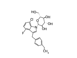 CCc1ccc(Cc2cn([C@@H]3O[C@H](CO)[C@@H](O)[C@H](O)[C@H]3O)c3c(Cl)ccc(F)c23)cc1